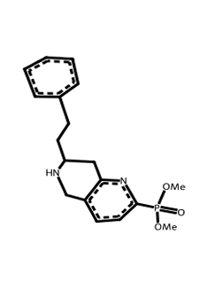 COP(=O)(OC)c1ccc2c(n1)CC(CCc1ccccc1)NC2